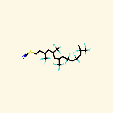 CC(F)(CC(F)(F)CC(F)(F)CC(CC(CC(CCSC#N)C(F)(F)F)C(F)(F)F)C(F)(F)F)C(F)(F)F